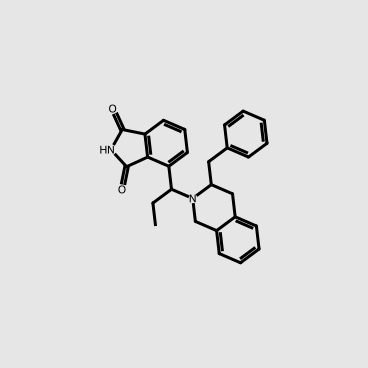 CCC(c1cccc2c1C(=O)NC2=O)N1Cc2ccccc2CC1Cc1ccccc1